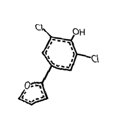 Oc1c(Cl)cc(-c2ccco2)cc1Cl